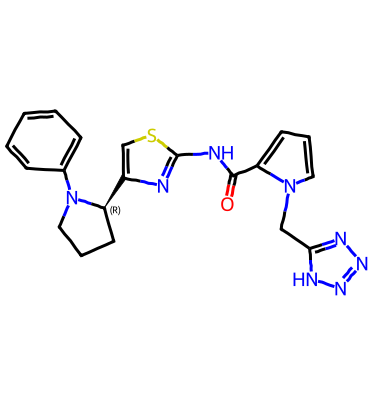 O=C(Nc1nc([C@H]2CCCN2c2ccccc2)cs1)c1cccn1Cc1nnn[nH]1